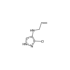 C=CCNc1c[nH]nc1Cl